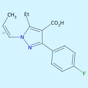 C/C=C\n1nc(-c2ccc(F)cc2)c(C(=O)O)c1CC